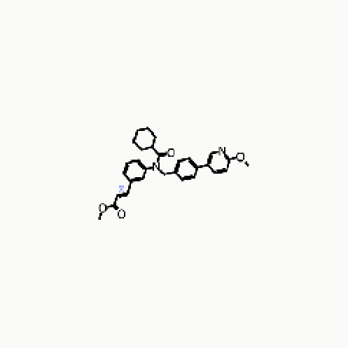 COC(=O)/C=C/c1cccc(N(Cc2ccc(-c3ccc(OC)nc3)cc2)C(=O)C2CCCCC2)c1